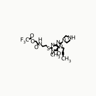 CC#CCn1c(N2CCNCC2)nc2nc(SCCNC(=O)COC(=O)C(F)(F)F)n(C)c(=O)c21